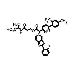 Cc1ccc(-c2ccc(C(C(=O)OCCC(=O)NC(C)C(=O)O)n3ccc4nc(-c5ccccc5F)nc-4c3)nn2)c(C(F)(F)F)c1